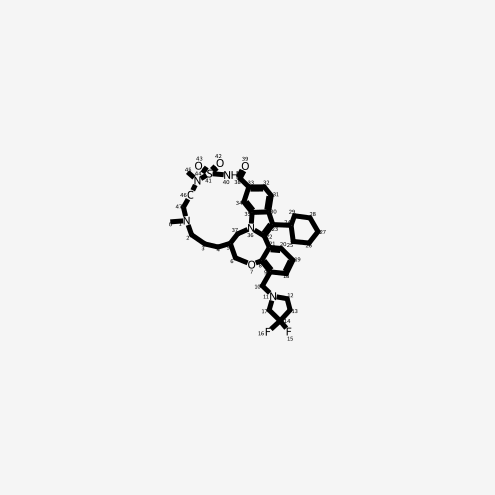 CN1CCCC2COc3c(CN4CCC(F)(F)C4)cccc3-c3c(C4CCCCC4)c4ccc(cc4n3C2)C(=O)NS(=O)(=O)N(C)CC1